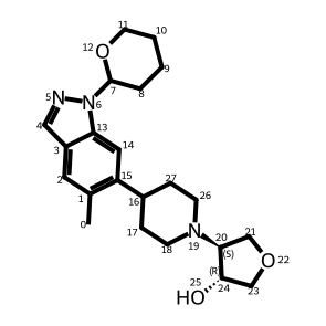 Cc1cc2cnn(C3CCCCO3)c2cc1C1CCN([C@H]2COC[C@@H]2O)CC1